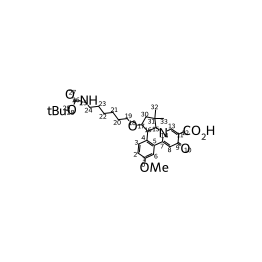 COc1ccc2c(c1)-c1cc(=O)c(C(=O)O)cn1C1C2C(OCCCCCCNC(=O)OC(C)(C)C)CC1(C)C